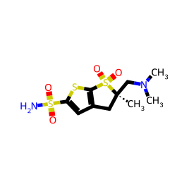 CN(C)C[C@@]1(C)Cc2cc(S(N)(=O)=O)sc2S1(=O)=O